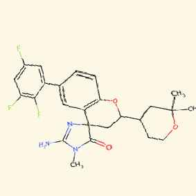 CN1C(=O)C2(CC(C3CCOC(C)(C)C3)Oc3ccc(-c4cc(F)cc(F)c4F)cc32)N=C1N